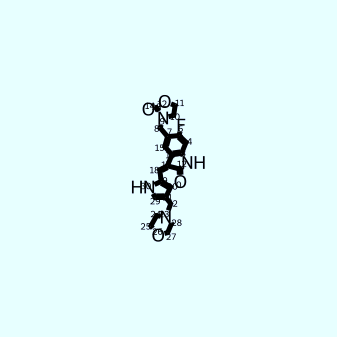 O=C1Nc2cc(F)c(CN3CCOC3=O)cc2C1=Cc1cc(CN2CCOCC2)c[nH]1